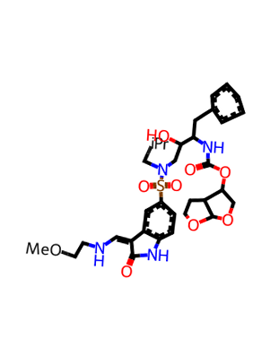 COCCNC=C1C(=O)Nc2ccc(S(=O)(=O)N(CC(C)C)CC(O)C(Cc3ccccc3)NC(=O)OC3COC4OCCC34)cc21